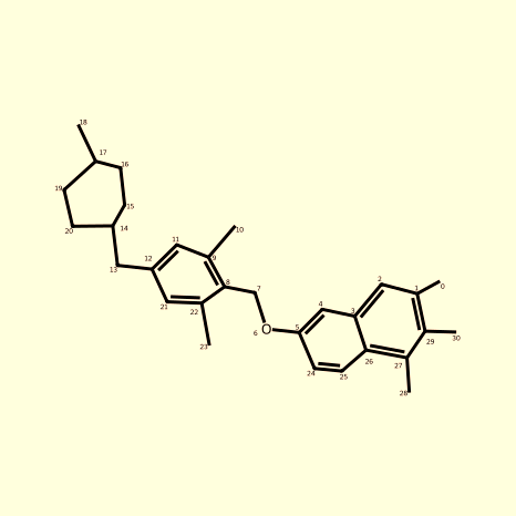 Cc1cc2cc(OCc3c(C)cc(CC4CCC(C)CC4)cc3C)ccc2c(C)c1C